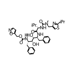 CC(C)c1nc(CN(C)C(=O)N[C@H](C(=O)N[C@@H](Cc2ccccc2)[C@@H](O)[C@H](O)[C@H](Cc2ccccc2)NC(=O)OCc2ccno2)C(C)C)cs1